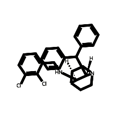 Clc1cccc(CN[C@@H]2C3CCN(CC3)[C@H]2C(c2ccccc2)c2ccccc2)c1Cl